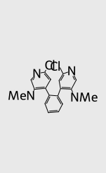 CNc1cnc(Cl)cc1-c1ccccc1-c1cc(Cl)ncc1NC